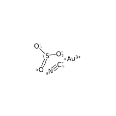 O=S([O-])[O-].[Au+3].[C-]#N